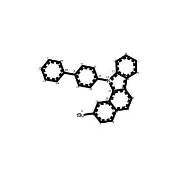 CC(C)(C)c1ccc2ccc3c4ccccc4n(-c4ccc(-c5ccccc5)cc4)c3c2c1